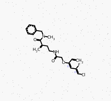 C=C/C(=C\C(F)=C\Cl)OCC(=O)NCCC(=C)C(=O)N(C)Cc1ccccc1